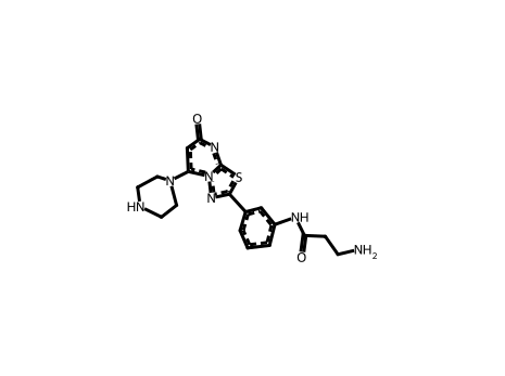 NCCC(=O)Nc1cccc(-c2nn3c(N4CCNCC4)cc(=O)nc3s2)c1